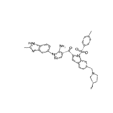 Cc1ccc(S(=O)(=O)n2c(C(=O)c3cnn(-c4ccc5[nH]c(C)nc5c4)c3N)cc3ccc(CN4CC[C@@H](F)C4)cc32)cc1